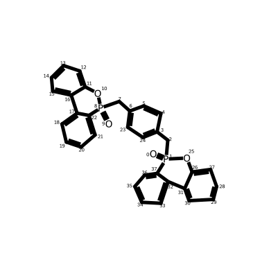 O=P1(Cc2ccc(CP3(=O)Oc4ccccc4-c4ccccc43)cc2)Oc2ccccc2-c2ccccc21